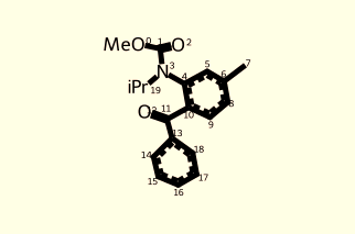 COC(=O)N(c1cc(C)ccc1C(=O)c1ccccc1)C(C)C